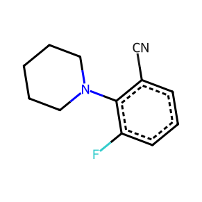 N#Cc1cccc(F)c1N1CCCCC1